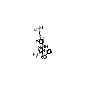 CCN(CC)CCCOc1c(F)cc(Nc2ncc(C(F)(F)F)c(N3OCCC3c3ccccc3)n2)cc1F